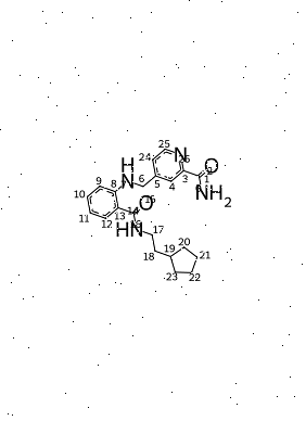 NC(=O)c1cc(CNc2ccccc2C(=O)NCCC2CCCC2)ccn1